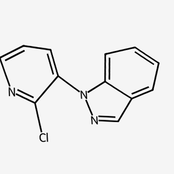 Clc1ncccc1-n1ncc2ccccc21